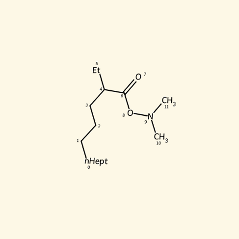 CCCCCCCCCCC(CC)C(=O)ON(C)C